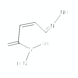 C=C(/C=C\C=N/N)N(N)S